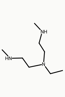 CCN(CCNC)CCNC